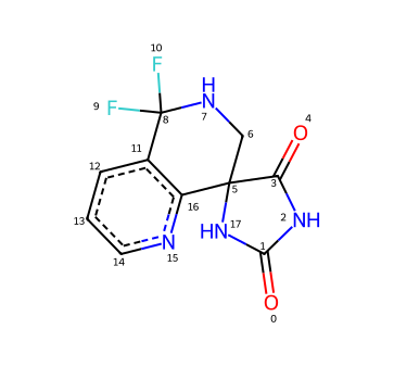 O=C1NC(=O)C2(CNC(F)(F)c3cccnc32)N1